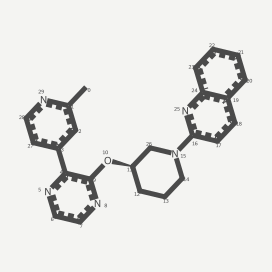 Cc1cc(-c2nccnc2O[C@@H]2CCCN(c3ccc4ccccc4n3)C2)ccn1